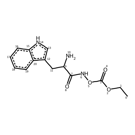 CCOC(=O)ONC(=O)C(N)Cc1c[nH]c2ccccc12